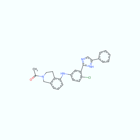 CC(=O)N1CCc2c(cccc2Nc2ccc(Cl)c(-c3ncc(-c4ccccc4)[nH]3)c2)C1